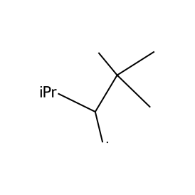 [CH2]C(C(C)C)C(C)(C)C